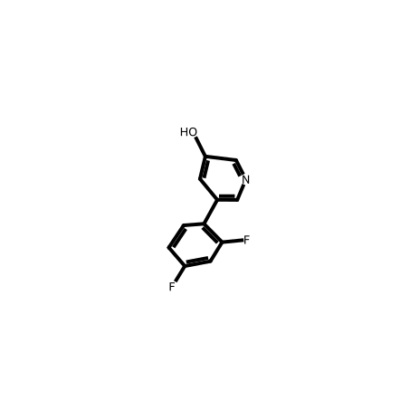 Oc1cncc(-c2ccc(F)cc2F)c1